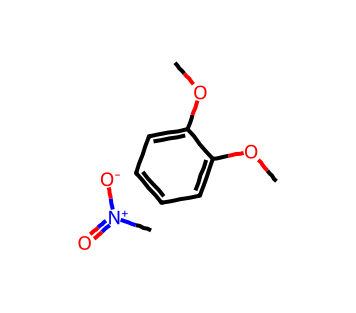 COc1ccccc1OC.C[N+](=O)[O-]